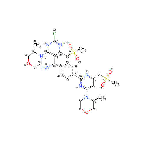 C[C@H]1COCCN1c1cc(CS(C)(=O)=O)nc(-c2ccc(C(N)c3c(CS(C)(=O)=O)nc(Cl)nc3N3CCOC[C@@H]3C)cc2)n1